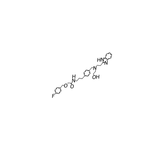 O=C(COCc1ccc(F)cc1)NCCCc1ccc(CN(CCO)CCc2nc3ccccc3[nH]2)cc1